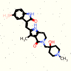 Bc1ccc2c(c1)/C(=C/c1[nH]c3c(c1C)C(=O)N(CC1(O)CCN(C)CC1)CC3)C(=O)N2